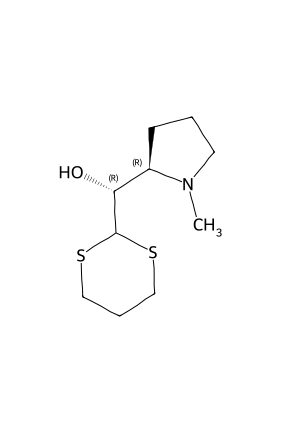 CN1CCC[C@@H]1[C@@H](O)C1SCCCS1